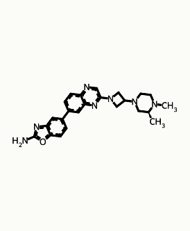 C[C@H]1CN(C2CN(c3cnc4ccc(-c5ccc6oc(N)nc6c5)cc4n3)C2)CCN1C